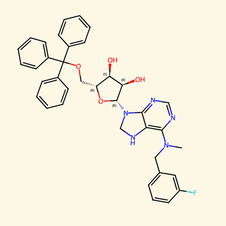 CN(Cc1cccc(F)c1)c1ncnc2c1NCN2[C@@H]1O[C@H](COC(c2ccccc2)(c2ccccc2)c2ccccc2)[C@@H](O)[C@H]1O